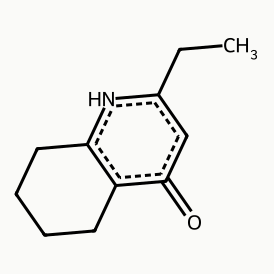 CCc1cc(=O)c2c([nH]1)CCCC2